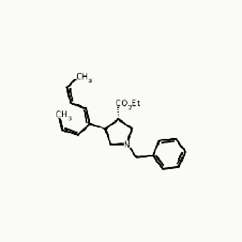 C\C=C/C=C(\C=C/C)[C@@H]1CN(Cc2ccccc2)C[C@H]1C(=O)OCC